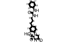 O=C1CN(c2ccc(CCCNC(=O)Nc3ccccc3)cc2O)S(=O)(=O)N1